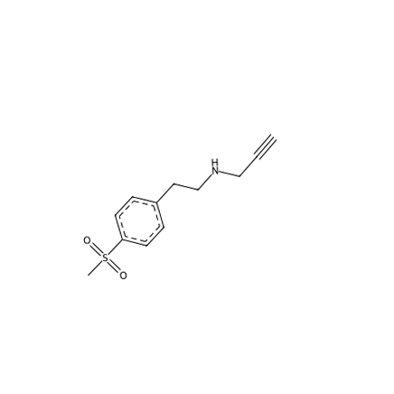 C#CCNCCc1ccc(S(C)(=O)=O)cc1